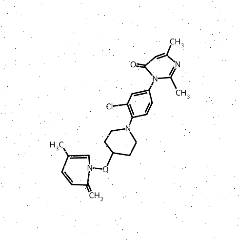 C=C1C=CC(C)=CN1OC1CCN(c2ccc(-n3c(C)nc(C)cc3=O)cc2Cl)CC1